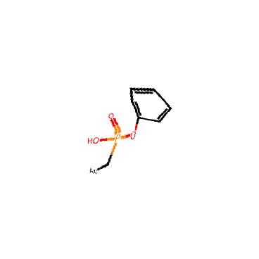 CC(=O)CP(=O)(O)Oc1ccccc1